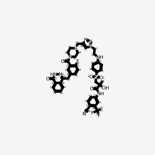 CC(O)(CS(=O)(=O)c1ccc(NCCn2cc(CN3CCN(C(=O)c4cc(Cc5n[nH]c(=O)c6ccccc56)ccc4F)CC3)nn2)cc1)C(=O)Nc1ccc(C#N)c(C(F)(F)F)c1